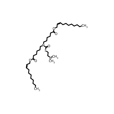 CCCCCCCC/C=C\COC(=O)CCCCCN(CCCCCC(=O)OC/C=C\CCCCCCCC)C(=O)SCCN(C)C